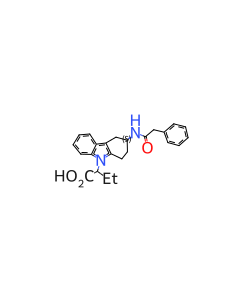 CCC(C(=O)O)n1c2c(c3ccccc31)C[C@@H](NC(=O)Cc1ccccc1)CC2